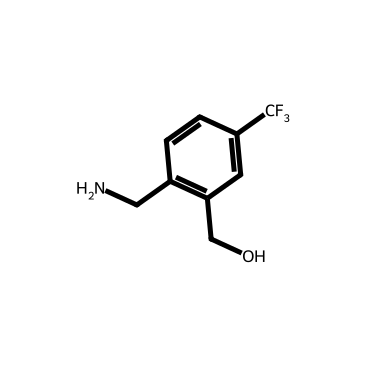 NCc1ccc(C(F)(F)F)cc1CO